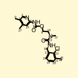 Cc1cnc(NC(=O)OCCN(C)C(=O)NCc2cccc(F)c2Cl)cc1C